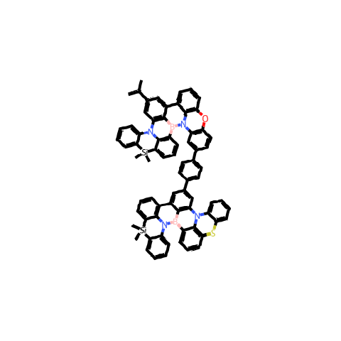 CC(C)c1cc2c3c(c1)N1c4ccccc4[Si](C)(C)c4cccc(c41)B3N1c3cc(-c4ccc(-c5cc6c7c(c5)N5c8ccccc8Sc8cccc(c85)B7N5c7ccccc7[Si](C)(C)c7cccc-6c75)cc4)ccc3Oc3cccc-2c31